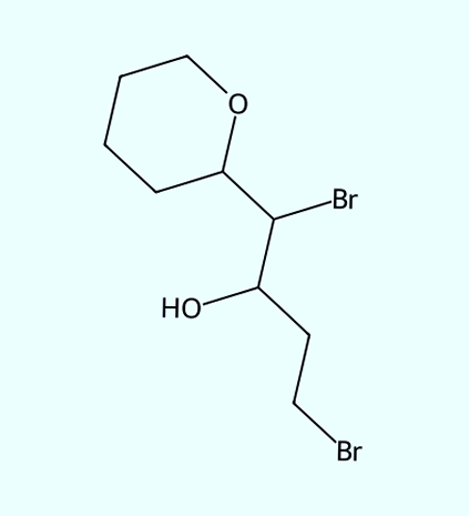 OC(CCBr)C(Br)C1CCCCO1